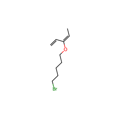 C=C/C(=C\C)OCCCCCBr